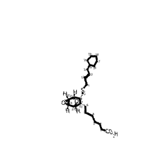 O=C(O)CCCCCC[C@H]1[C@@H](CSCC=CCC2CCCCC2)[C@@H]2O[C@H]1[C@@H]1O[C@@H]12